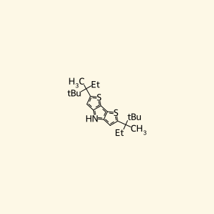 CCC(C)(c1cc2[nH]c3cc(C(C)(CC)C(C)(C)C)sc3c2s1)C(C)(C)C